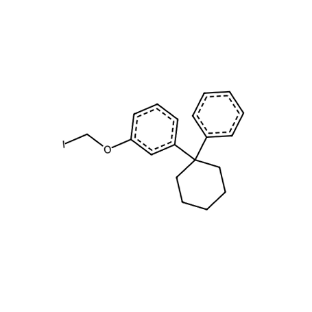 ICOc1cccc(C2(c3ccccc3)CCCCC2)c1